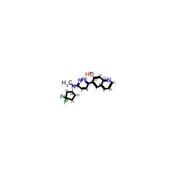 CN(c1ccc(-c2cc3cccnc3cc2O)nn1)[C@@H]1CCC(F)(F)C1